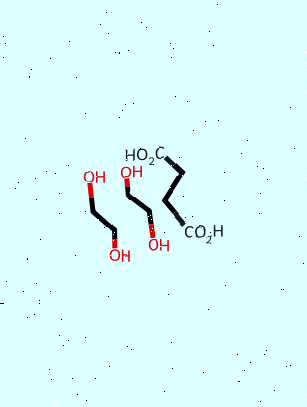 O=C(O)CCC(=O)O.OCCO.OCCO